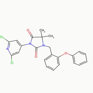 CC1(C)C(=O)N(c2cc(Cl)nc(Cl)c2)C(=O)N1Cc1ccccc1Oc1ccccc1